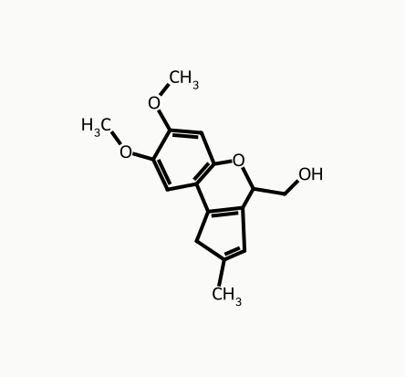 COc1cc2c(cc1OC)C1=C(C=C(C)C1)C(CO)O2